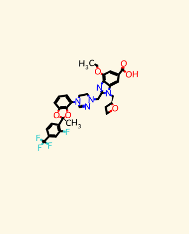 CCOc1cc(C(=O)O)cc2c1nc(CN1CCN(c3cccc4c3O[C@@](C)(c3ccc(C(F)(F)F)cc3F)O4)C=N1)n2C[C@@H]1CCO1